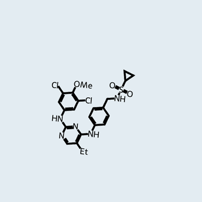 CCc1cnc(Nc2cc(Cl)c(OC)c(Cl)c2)nc1Nc1ccc(CNS(=O)(=O)C2CC2)cc1